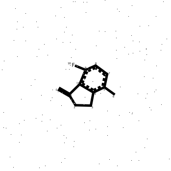 C=C1CCc2c(C)ccc(F)c21